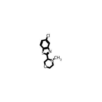 CN1CCOCC1c1nc2cc(Cl)ccc2s1